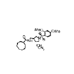 COc1ccc(S(=O)(=O)N2CCC(CNC(=O)[C]3CCCCCCC3)C2)c(OC)c1.[CH2].[CH2]